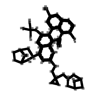 C#Cc1c(F)ccc2cc(O)cc(-c3c(SC(F)(F)F)cc4c(N5CC6CCC(C5)N6)nc(OCC5(CN6CC7CC(C6)O7)CC5)nc4c3F)c12